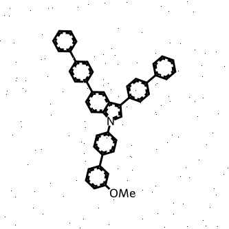 COc1cccc(-c2ccc(-n3cc(-c4ccc(-c5ccccc5)cc4)c4cc(-c5ccc(-c6ccccc6)cc5)ccc43)cc2)c1